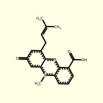 CC(C)=CCc1cc(=O)cc2n(C)c3cccc(C(=O)O)c3nc1-2